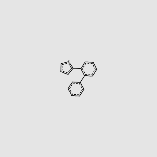 c1ccc(-c2ccccc2-c2cccs2)cc1